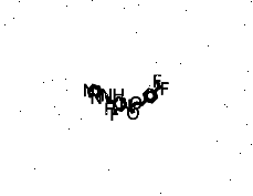 O=C(OCc1ccc(C(F)F)cc1)N1CCC(CNc2ccncn2)C(F)(F)C1